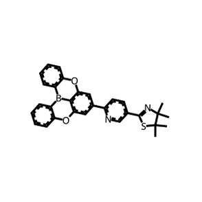 CC1(C)N=C(c2ccc(-c3cc4c5c(c3)Oc3ccccc3B5c3ccccc3O4)nc2)SC1(C)C